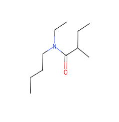 CCCCN(CC)C(=O)C(C)CC